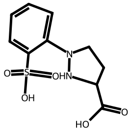 O=C(O)C1CCN(c2ccccc2S(=O)(=O)O)N1